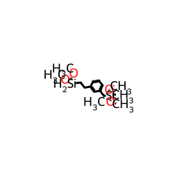 COC(OC)[SiH2]CCc1cccc(C(C)[Si](C)(OC)OC)c1